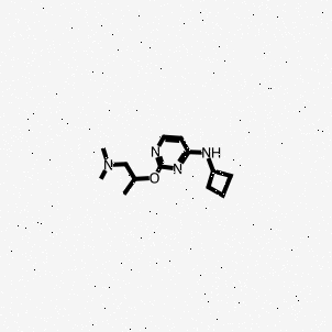 CC(CN(C)C)Oc1n[c]cc(NC2CCC2)n1